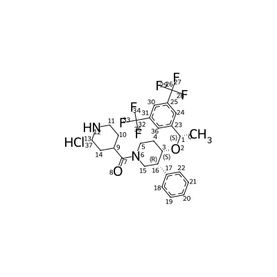 C[C@H](O[C@H]1CCN(C(=O)C2CCNCC2)C[C@H]1c1ccccc1)c1cc(C(F)(F)F)cc(C(F)(F)F)c1.Cl